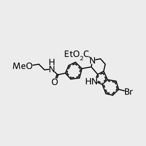 CCOC(=O)N1CCc2c([nH]c3ccc(Br)cc23)C1c1ccc(C(=O)NCCOC)cc1